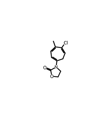 CC1=CC=C(N2CCOC2=O)CC=C1Cl